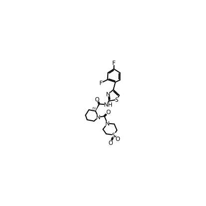 O=C(Nc1nc(-c2ccc(F)cc2F)cs1)[C@@H]1CCCCN1C(=O)N1CCS(=O)(=O)CC1